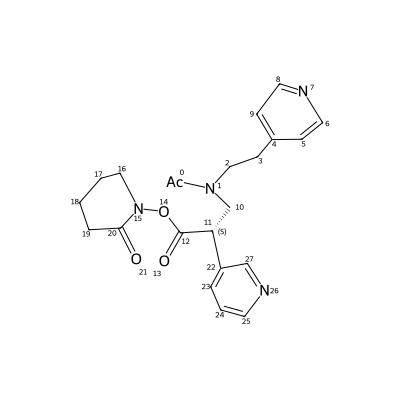 CC(=O)N(CCc1ccncc1)C[C@@H](C(=O)ON1CCCCC1=O)c1cccnc1